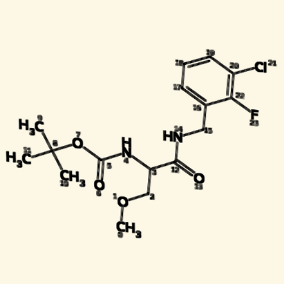 COCC(NC(=O)OC(C)(C)C)C(=O)NCc1cccc(Cl)c1F